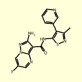 Cc1nsc(NC(=O)c2c(N)nn3cc(F)cnc23)c1-c1cccnc1